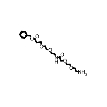 NCCOCCOCC(=O)NCCOCCOCCC(=O)OCc1ccccc1